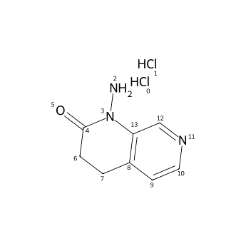 Cl.Cl.NN1C(=O)CCc2ccncc21